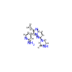 C[C@@H]1CN(c2ccc3nc(C4CC4)c(-c4ccnc(N)c4)n3n2)CCN1